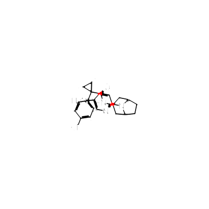 Nc1ccc(N2C3CCC2CC(NC(=O)C2(c4ccc(Cl)cc4)CC2)C3)nc1